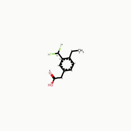 CCc1ccc(CC(=O)O)cc1C(F)F